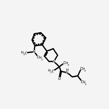 CC(C)CNC(=O)C(C)(C)N1CC=C(c2ccccc2N(C)C)CC1